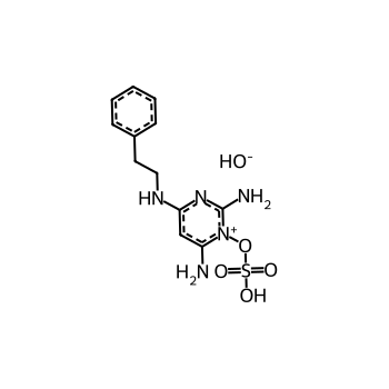 Nc1cc(NCCc2ccccc2)nc(N)[n+]1OS(=O)(=O)O.[OH-]